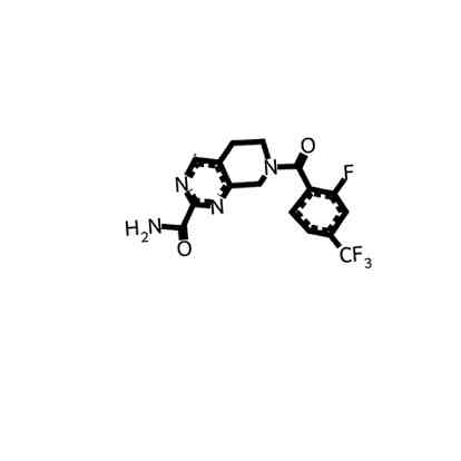 NC(=O)c1n[c]c2c(n1)CN(C(=O)c1ccc(C(F)(F)F)cc1F)CC2